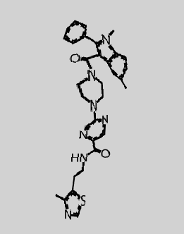 Cc1ccc2c(c1)c(C(=O)N1CCN(c3cnc(C(=O)NCCc4scnc4C)cn3)CC1)c(-c1ccccc1)n2C